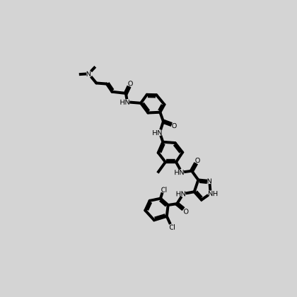 Cc1cc(NC(=O)c2cccc(NC(=O)C=CCN(C)C)c2)ccc1NC(=O)c1n[nH]cc1NC(=O)c1c(Cl)cccc1Cl